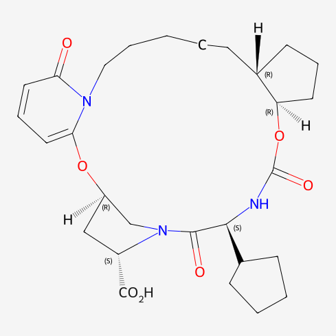 O=C1N[C@@H](C2CCCC2)C(=O)N2C[C@@H](C[C@H]2C(=O)O)Oc2cccc(=O)n2CCCCC[C@@H]2CCC[C@H]2O1